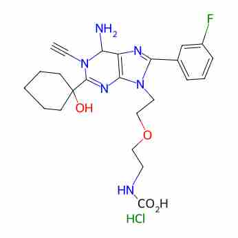 C#CN1C(C2(O)CCCCC2)=Nc2c(nc(-c3cccc(F)c3)n2CCOCCNC(=O)O)C1N.Cl